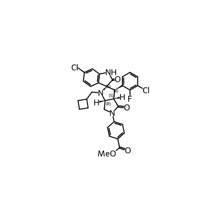 COC(=O)c1ccc(N2C[C@H]3[C@@H](C2=O)[C@H](c2cccc(Cl)c2F)[C@]2(C(=O)Nc4cc(Cl)ccc42)N3CC2CCC2)cc1